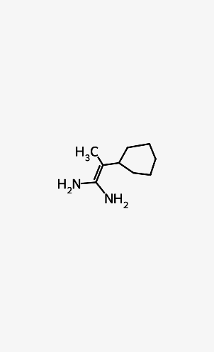 CC(=C(N)N)C1CCCCC1